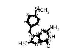 CSc1ccc(Cn2c(C)nc3c(=O)[nH]c(N)nc32)cc1